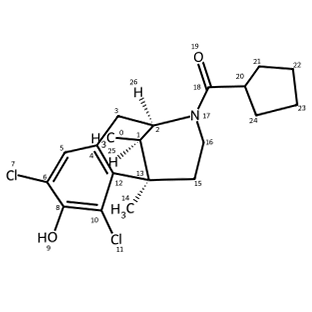 C[C@H]1[C@H]2Cc3cc(Cl)c(O)c(Cl)c3[C@]1(C)CCN2C(=O)C1CCCC1